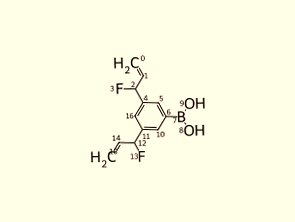 C=CC(F)c1cc(B(O)O)cc(C(F)C=C)c1